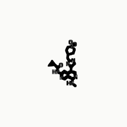 CNc1ncc(C2=NC(CC3CCS(=O)(=O)CC3)N=C2)c2cc(NC(=O)C3CC3)ncc12